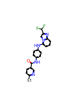 CCc1ccc(C(=O)Nc2ccc(Nc3cccc4nc(C(F)F)cn34)cc2)cn1